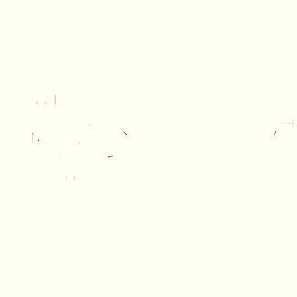 C\C(=C/C=C/C=C/[C@@H](C)C[C@H]1CC[C@H](O)CC1)[C@@H](O)C[C@@H]1CC[C@@H](C)[C@](O)(CC(=O)N2CCCC[C@H]2C(=O)O)O1